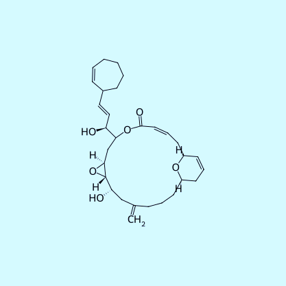 C=C1CCC[C@@H]2CC=C[C@@H](C/C=C\C(=O)OC([C@@H](O)/C=C/C3C=CCCCC3)C[C@@H]3O[C@H]3[C@@H](O)C1)O2